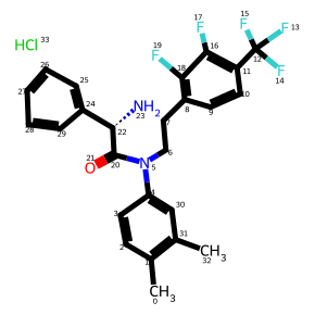 Cc1ccc(N(CCc2ccc(C(F)(F)F)c(F)c2F)C(=O)[C@@H](N)c2ccccc2)cc1C.Cl